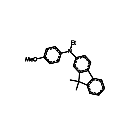 CCN(c1ccc(OC)cc1)c1ccc2c(c1)C(C)(C)c1ccccc1-2